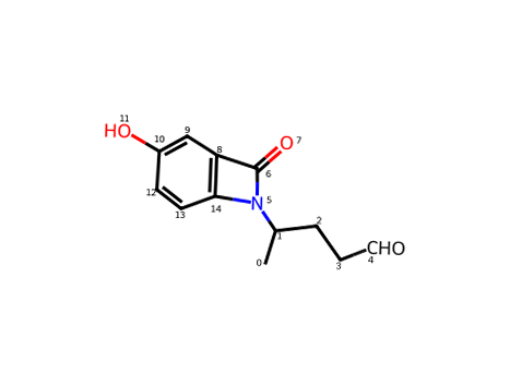 CC(CCC=O)N1C(=O)c2cc(O)ccc21